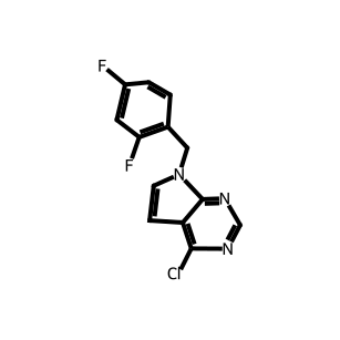 Fc1ccc(Cn2ccc3c(Cl)ncnc32)c(F)c1